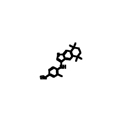 Cc1cc(C(C)(C)C)ccc1Nc1csc2cc3c(cc12)C(C)(C)CCC3(C)C